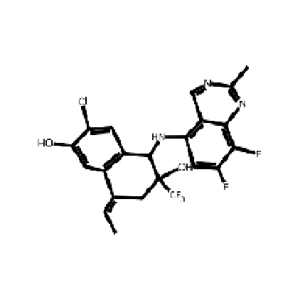 CC=C1CC(O)(C(F)(F)F)C(Nc2cc(F)c(F)c3nc(C)ncc23)c2cc(Cl)c(O)cc21